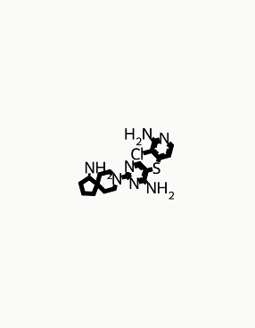 Nc1nc(N2CCC3(CCC[C@H]3N)CC2)ncc1Sc1ccnc(N)c1Cl